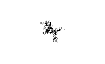 C=CC(=O)OCC(COCC(OC(=O)C=C)(OC(=O)C=C)C(C)OC(=O)C=C)(OC(=O)C=C)OC(=O)C=C